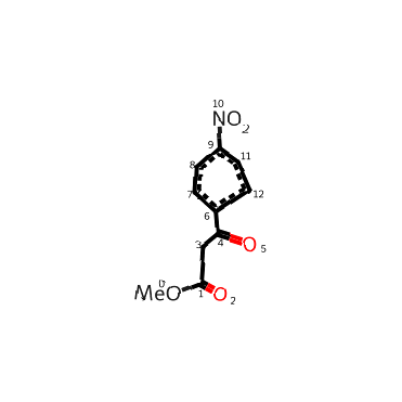 COC(=O)CC(=O)c1ccc([N+](=O)[O-])cc1